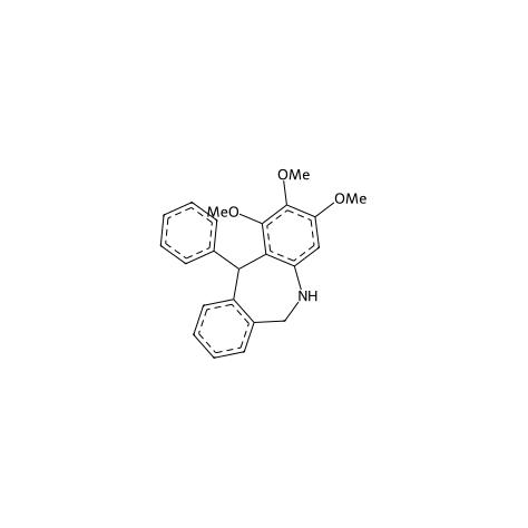 COc1cc2c(c(OC)c1OC)C(c1ccccc1)c1ccccc1CN2